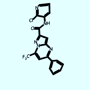 O=C(Nc1cccnc1Cl)c1cc2nc(-c3ccccc3)cc(C(F)(F)F)n2n1